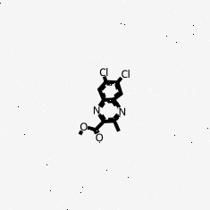 COC(=O)c1nc2cc(Cl)c(Cl)cc2nc1C